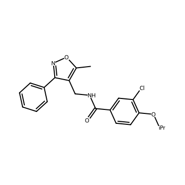 Cc1onc(-c2ccccc2)c1CNC(=O)c1ccc(OC(C)C)c(Cl)c1